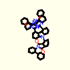 O=C1c2cccc(-n3c4cccc(-c5nc(-c6ccccc6)nc(-c6ccccc6)n5)c4c4c(-c5nc(-c6ccccc6)nc(-c6ccccc6)n5)cccc43)c2C(=O)N1c1ccccc1-c1ccccc1